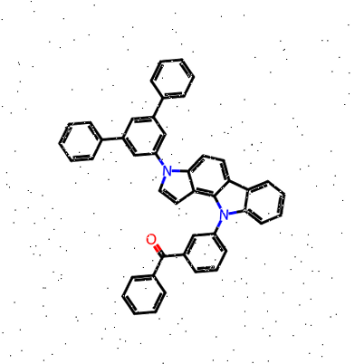 O=C(c1ccccc1)c1cccc(-n2c3ccccc3c3ccc4c(ccn4-c4cc(-c5ccccc5)cc(-c5ccccc5)c4)c32)c1